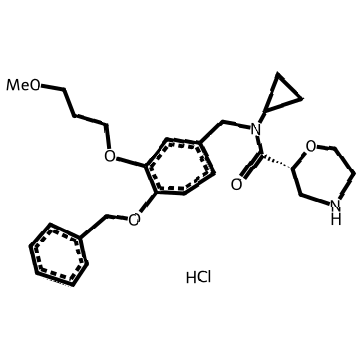 COCCCOc1cc(CN(C(=O)[C@H]2CNCCO2)C2CC2)ccc1OCc1ccccc1.Cl